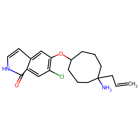 C=CCC1(N)CCCC(Oc2cc3cc[nH]c(=O)c3cc2Cl)CCC1